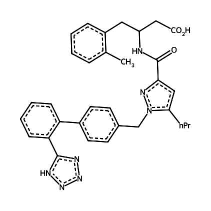 CCCc1cc(C(=O)NC(CC(=O)O)Cc2ccccc2C)nn1Cc1ccc(-c2ccccc2-c2nnn[nH]2)cc1